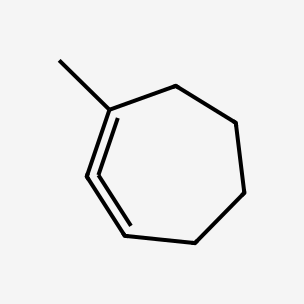 CC1=C=CCCCC1